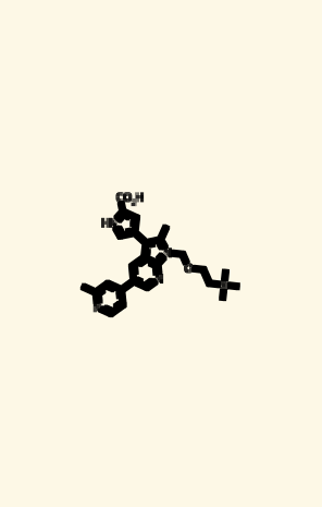 Cc1cc(-c2cnc3c(c2)c(-c2c[nH]c(C(=O)O)c2)c(C)n3COCC[Si](C)(C)C)ccn1